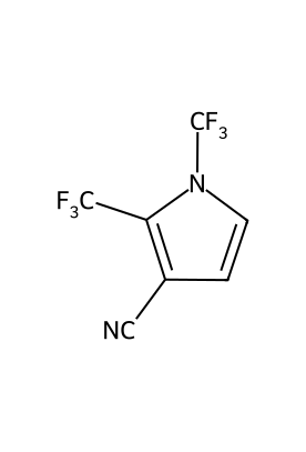 N#Cc1ccn(C(F)(F)F)c1C(F)(F)F